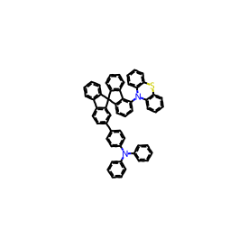 c1ccc(N(c2ccccc2)c2ccc(-c3ccc4c(c3)C3(c5ccccc5-4)c4ccccc4-c4c(N5c6ccccc6Sc6ccccc65)cccc43)cc2)cc1